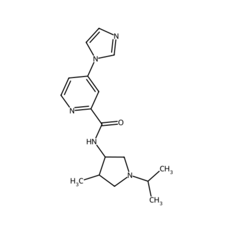 CC1CN(C(C)C)CC1NC(=O)c1cc(-n2ccnc2)ccn1